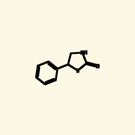 O=C1NCC(c2ccccc2)S1